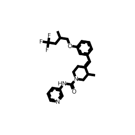 CC(COc1cccc(C=C2CCN(C(=O)Nc3cccnc3)CC2C)c1)CC(F)(F)F